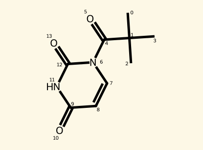 CC(C)(C)C(=O)n1ccc(=O)[nH]c1=O